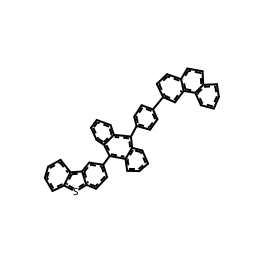 c1ccc2c(c1)ccc1ccc(-c3ccc(-c4c5ccccc5c(-c5ccc6sc7ccccc7c6c5)c5ccccc45)cc3)cc12